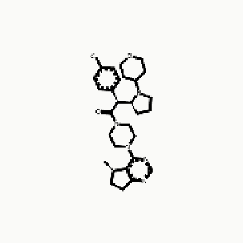 C[C@@H]1CCc2ncnc(N3CCN(C(=O)[C@@H](c4ccc(Cl)cc4)[C@@H]4CCCN4C4CCOCC4)CC3)c21